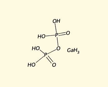 O=P(O)(O)OP(=O)(O)O.[GaH3]